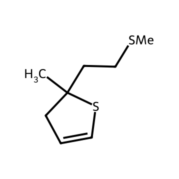 CSCCC1(C)CC=CS1